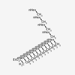 CCCCCCC.CCCCCCC.CCCCCCC.CCCCCCC.CCCCCCC.CCCCCCC.CCCCCCC.CCCCCCC.CCCCCCC.CCCCCCC.CCCCCCC.CCCCCCC.CCCCCCC.CCCCCCC.CCCCCCC.CCOC(C)=O